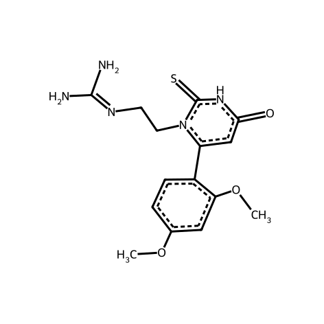 COc1ccc(-c2cc(=O)[nH]c(=S)n2CCN=C(N)N)c(OC)c1